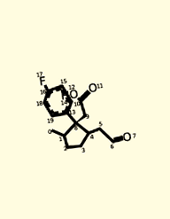 CC1CCC(CC=O)[C@@]1(CC(=O)O)c1ccc(F)cc1